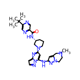 CN1CCn2nc(Nc3cc(N4CCC[C@@H](NC(=O)c5cnc(C(C)(C)C)cn5)C4)nc4ccnn34)cc2C1